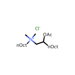 CCCCCCCCC(C[N+](C)(C)CCCCCCCC)OC(C)=O.[Cl-]